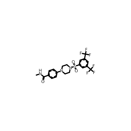 CNC(=O)c1ccc(N2CCN(S(=O)(=O)c3cc(C(F)(F)F)cc(C(F)(F)F)c3)CC2)cc1